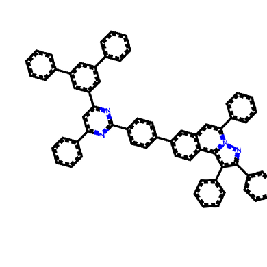 c1ccc(-c2cc(-c3ccccc3)cc(-c3cc(-c4ccccc4)nc(-c4ccc(-c5ccc6c(c5)cc(-c5ccccc5)n5nc(-c7ccccc7)c(-c7ccccc7)c65)cc4)n3)c2)cc1